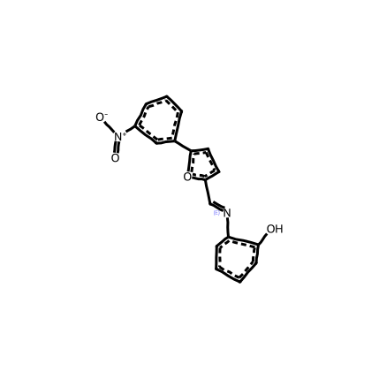 O=[N+]([O-])c1cccc(-c2ccc(/C=N/c3ccccc3O)o2)c1